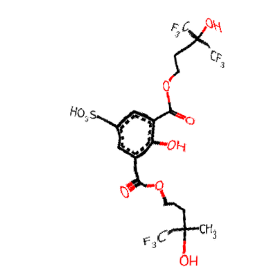 CC(O)(CCOC(=O)c1cc(S(=O)(=O)O)cc(C(=O)OCCC(O)(C(F)(F)F)C(F)(F)F)c1O)C(F)(F)F